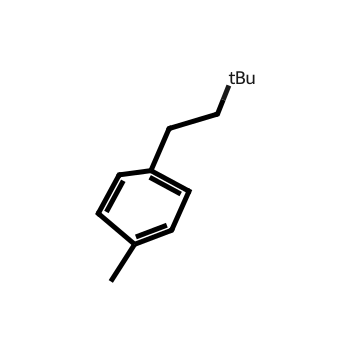 Cc1ccc(CCC(C)(C)C)cc1